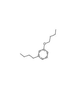 CCCCOc1c[c]cc(CCCC)c1